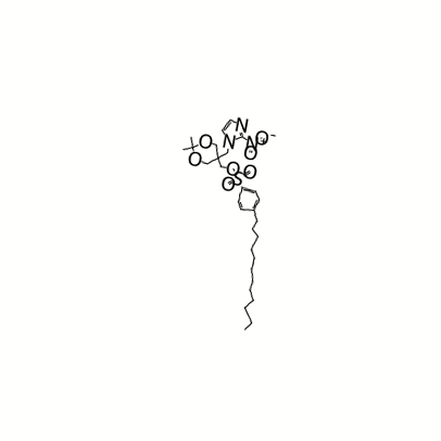 CCCCCCCCCCCCc1ccc(S(=O)(=O)OCC2(Cn3ccnc3[N+](=O)[O-])COC(C)(C)OC2)cc1